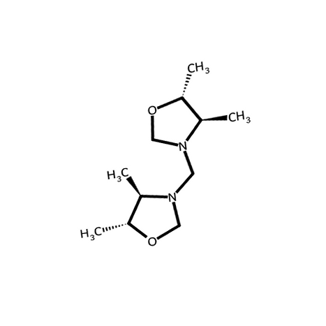 C[C@@H]1[C@@H](C)OCN1CN1CO[C@H](C)[C@H]1C